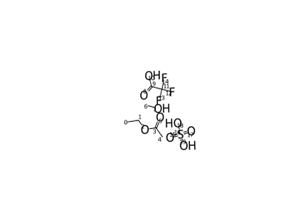 CCOC(C)=O.CO.O=C(O)C(F)(F)F.O=S(=O)(O)O